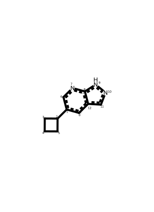 [c]1c(C2CCC2)cnc2[nH]ncc12